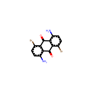 Nc1ccc(Br)c2c1C(=O)c1c(Br)ccc(N)c1C2=O